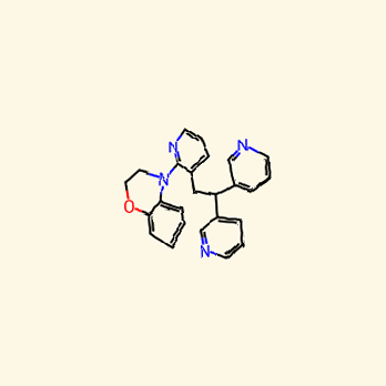 c1cncc(C(Cc2cccnc2N2CCOc3ccccc32)c2cccnc2)c1